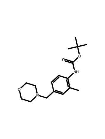 Cc1cc(CN2CCOCC2)ccc1NC(=O)OC(C)(C)C